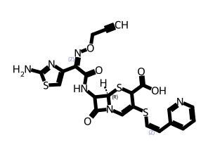 C#CCO/N=C(\C(=O)NC1C(=O)N2C=C(S/C=C\c3cccnc3)C(C(=O)O)S[C@H]12)c1csc(N)n1